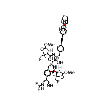 COC(=O)N[C@H](C(=O)N[C@@H](Cc1ccc(C#Cc2ccc(N3CC4CCC(C3)N4C3COC3)nc2)cc1)[C@@H](O)CN(Cc1ccc(/C(C=N)=C/NC(F)F)cc1F)NC(=O)[C@@H](NC(=O)OC)C(C)(C)CF)C(C)(C)CF